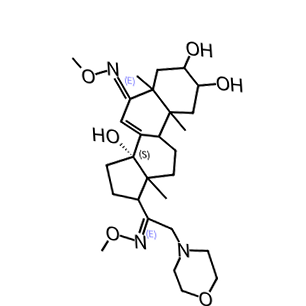 CO/N=C(/CN1CCOCC1)C1CC[C@@]2(O)C3=C/C(=N\OC)C4(C)CC(O)C(O)CC4(C)C3CCC12C